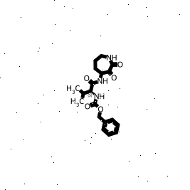 CC(C)[C@H](NC(=O)OCc1ccccc1)C(=O)NC1CCCNC(=O)C1=O